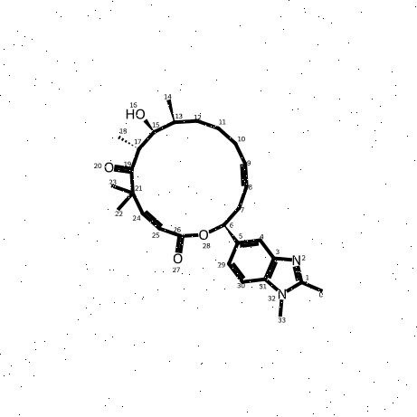 Cc1nc2cc([C@@H]3CC=CCCC[C@H](C)[C@H](O)[C@@H](C)C(=O)C(C)(C)C=CC(=O)O3)ccc2n1C